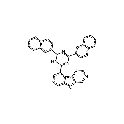 c1ccc2cc(C3=NC(c4ccc5ccccc5c4)NC(c4cccc5oc6cnccc6c45)=N3)ccc2c1